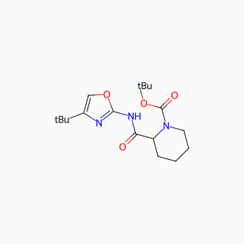 CC(C)(C)OC(=O)N1CCCCC1C(=O)Nc1nc(C(C)(C)C)co1